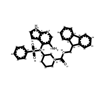 Nc1cnc2[nH]ccc2c1N(C1CCCN(C(=O)OCC2c3ccccc3-c3ccccc32)C1)S(=O)(=O)c1ccccc1